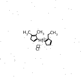 CCC1=[C]([Hf+2][C]2=CCC(C)=C2C)CC=C1.[Cl-].[Cl-]